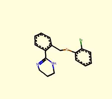 Brc1ccccc1SCc1ccccc1C1=NCCCN1